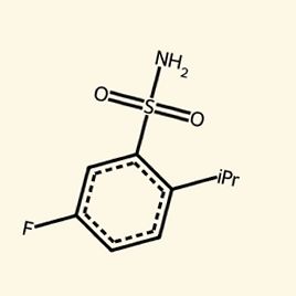 CC(C)c1ccc(F)cc1S(N)(=O)=O